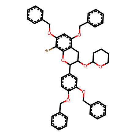 Brc1c(OCc2ccccc2)cc(OCc2ccccc2)c2c1OC(c1ccc(OCc3ccccc3)c(OCc3ccccc3)c1)C(OC1CCCCO1)C2